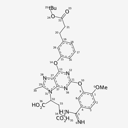 COc1ccc(C(=N)N)cc1Oc1nc(Oc2cccc(CCC(=O)OC(C)(C)C)c2)c2nc(C)n(C(CCC(=O)O)C(=O)O)c2n1